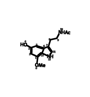 COc1cc(O)cc2c(CCNC(C)=O)c[nH]c12